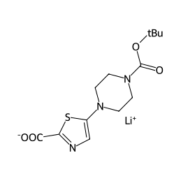 CC(C)(C)OC(=O)N1CCN(c2cnc(C(=O)[O-])s2)CC1.[Li+]